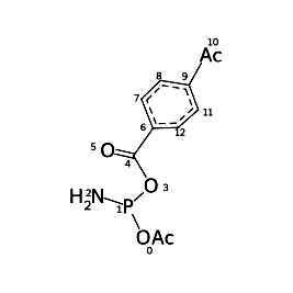 CC(=O)OP(N)OC(=O)c1ccc(C(C)=O)cc1